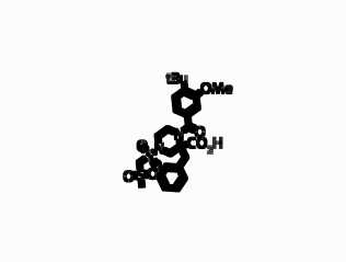 COc1cc(C(=O)N2CCN(S(=O)(=O)CS(C)(=O)=O)CC2(Cc2ccccc2)C(=O)O)ccc1C(C)(C)C